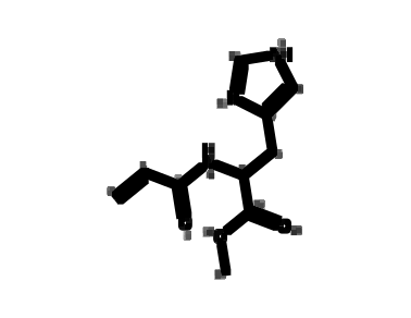 C=CC(=O)NC(Cc1c[nH]cn1)C(=O)OC